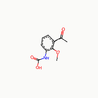 COc1c(NC(=O)O)cccc1C(C)=O